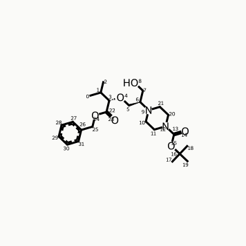 CC(C)[C@H](OC[C@@H](CO)N1CCN(C(=O)OC(C)(C)C)CC1)C(=O)OCc1ccccc1